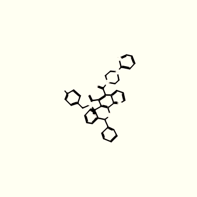 O=C(c1c2c(c(OC(c3ccccc3)c3ccccc3)c3ncccc13)C(=O)N(Cc1ccc(F)cc1)C2=O)N1CCN(c2ccccn2)CC1